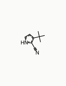 CC(C)(C)c1cc[nH]c1C#N